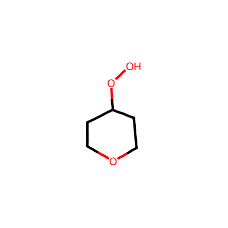 OOC1CCOCC1